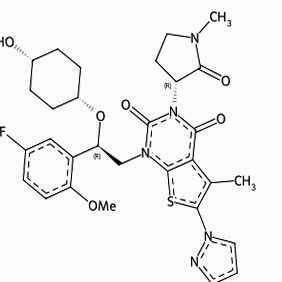 COc1ccc(F)cc1[C@H](Cn1c(=O)n([C@@H]2CCN(C)C2=O)c(=O)c2c(C)c(-n3cccn3)sc21)O[C@H]1CC[C@@H](O)CC1